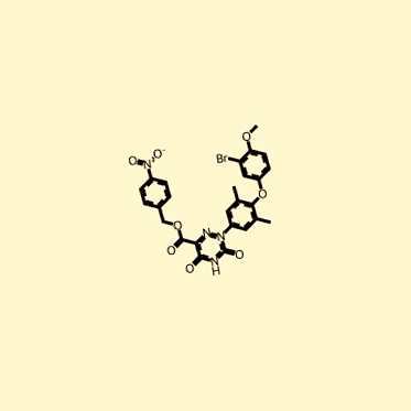 COc1ccc(Oc2c(C)cc(-n3nc(C(=O)OCc4ccc([N+](=O)[O-])cc4)c(=O)[nH]c3=O)cc2C)cc1Br